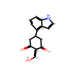 O=C1CC(c2cccc3[nH]ccc23)CC(=O)C1=CO